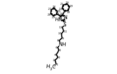 CCCCCCCNCCCCCSc1nc(-c2ccccc2)c(-c2ccccc2)[nH]1